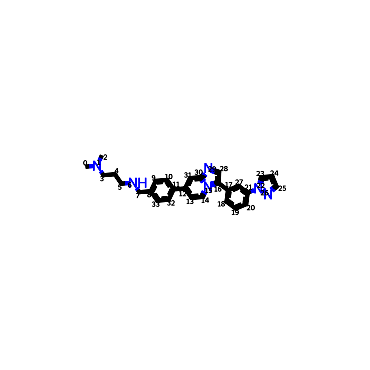 CN(C)CCCNCc1ccc(-c2ccn3c(-c4cccc(-n5cccn5)c4)cnc3c2)cc1